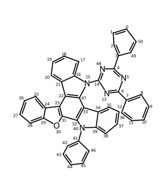 c1ccc(-c2nc(-c3ccccc3)nc(-n3c4ccccc4c4c5c6ccccc6oc5c5c(c6ccccc6n5-c5ccccc5)c43)n2)cc1